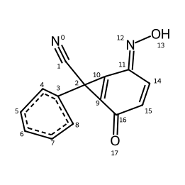 N#CC1(c2ccccc2)C2=C1C(=NO)C=CC2=O